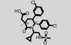 C[C@]1(CC(=O)O)CC(c2cccc(Cl)c2)[C@@H](c2ccc(Cl)cc2)N(C(CNS(C)(=O)=O)C2CC2)C1=O